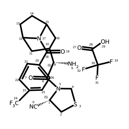 N#C[C@H]1CSCN1C(=O)[C@@H](N)C1CC2CCC(C1)N2C(=O)c1ccc(C(F)(F)F)cc1.O=C(O)C(F)(F)F